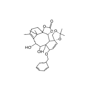 CC1=C2C(O)C(O)C3(C)C(OCc4ccccc4)C=CC4(COC(C)(C)O4)C3C3OC(=O)OC3(CC1)C2(C)C